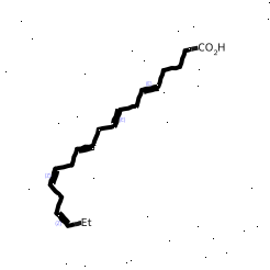 CC/C=C\C/C=C\CC=CC/C=C/C/C=C/CCCC(=O)O